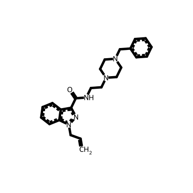 C=CCn1nc(C(=O)NCCN2CCN(Cc3ccccc3)CC2)c2ccccc21